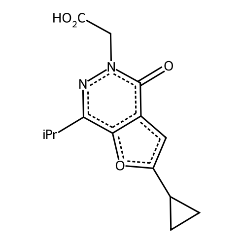 CC(C)c1nn(CC(=O)O)c(=O)c2cc(C3CC3)oc12